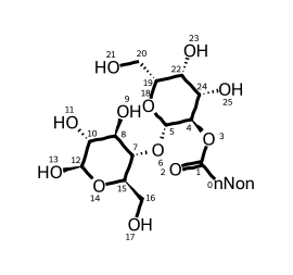 CCCCCCCCCC(=O)O[C@H]1[C@H](O[C@H]2[C@H](O)[C@@H](O)[C@H](O)O[C@@H]2CO)O[C@H](CO)[C@H](O)[C@@H]1O